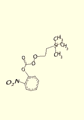 C[Si](C)(C)CCOOC(=O)Oc1ccccc1[N+](=O)[O-]